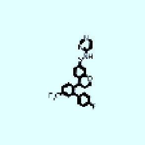 Fc1ccc(-c2cc(C(F)(F)F)ccc2C2CCOc3cc(SNc4ccncn4)ccc32)cc1